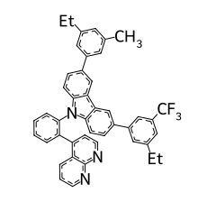 CCc1cc(C)cc(-c2ccc3c(c2)c2cc(-c4cc(CC)cc(C(F)(F)F)c4)ccc2n3-c2ccccc2-c2ccnc3ncccc23)c1